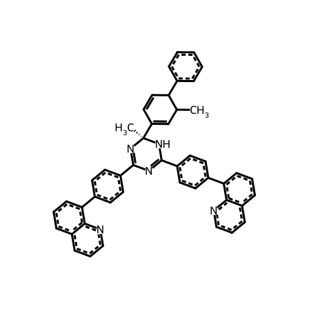 CC1C=C([C@]2(C)N=C(c3ccc(-c4cccc5cccnc45)cc3)N=C(c3ccc(-c4cccc5cccnc45)cc3)N2)C=CC1c1ccccc1